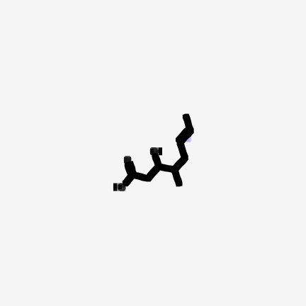 C/C=C/CC(C)C(O)CC(=O)O